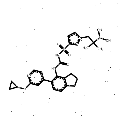 CC(C)(Cn1ccc(S(=O)(=O)NC(=O)Nc2c(-c3ccnc(OC4CC4)c3)ccc3c2CCC3)n1)B(O)O